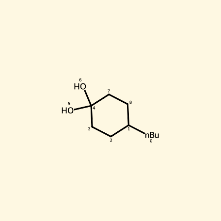 CCCCC1CCC(O)(O)CC1